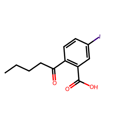 CCCCC(=O)c1ccc(I)cc1C(=O)O